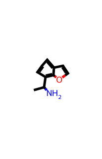 CC(N)c1cccc2ccoc12